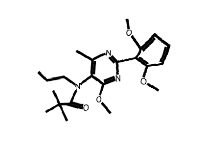 CCCN(C(=O)C(C)(C)C)c1c(C)nc(-c2c(OC)cccc2OC)nc1OC